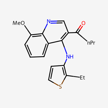 CCCC(=O)c1cnc2c(OC)cccc2c1Nc1ccsc1CC